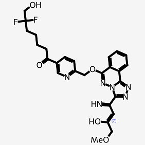 COC/C(O)=C/C(=N)c1nnc2c3ccccc3c(OCc3ccc(C(=O)CCCCC(F)(F)CO)cn3)nn12